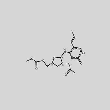 COC(=O)OC[C@@H]1C[C@@H](OC(C)=O)[C@H](Nc2nc(=O)[nH]cc2C=CI)O1